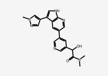 CN(C)C(=O)C(O)c1cncc(-c2cnc3[nH]cc(-c4cnn(C)c4)c3c2)c1